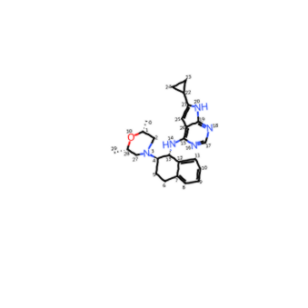 C[C@@H]1CN([C@@H]2CCc3ccccc3[C@H]2Nc2ncnc3[nH]c(C4CC4)cc23)C[C@H](C)O1